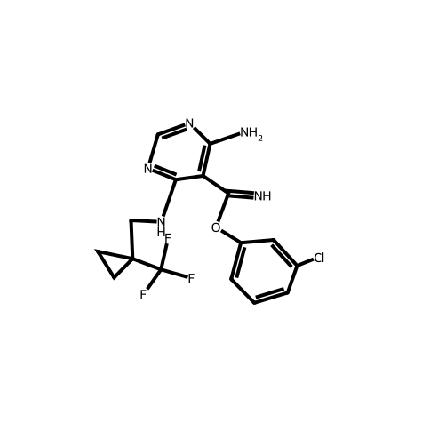 N=C(Oc1cccc(Cl)c1)c1c(N)ncnc1NCC1(C(F)(F)F)CC1